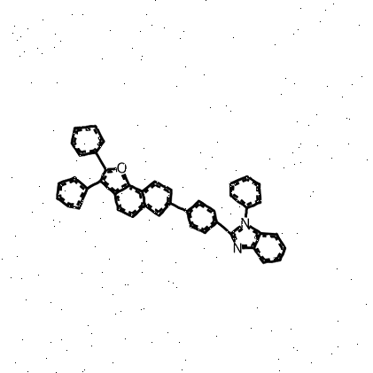 c1ccc(-c2oc3c(ccc4cc(-c5ccc(-c6nc7ccccc7n6-c6ccccc6)cc5)ccc43)c2-c2ccccc2)cc1